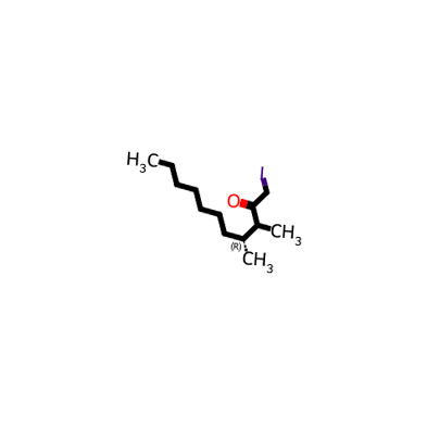 CCCCCCC[C@@H](C)C(C)C(=O)CI